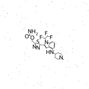 CN1CCC(Nc2cccc3c2cc(-c2nnc(COC(N)=O)s2)n3C(F)C(F)F)CC1